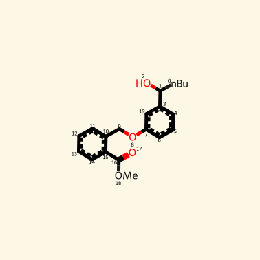 CCCCC(O)c1cccc(OCc2ccccc2C(=O)OC)c1